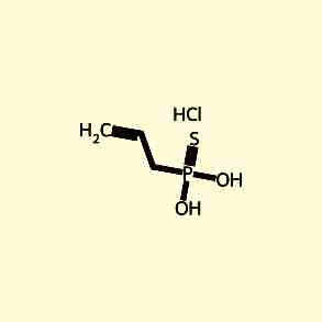 C=CCP(O)(O)=S.Cl